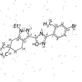 CCn1nc(-c2nc(-c3ccc(Br)cc3C)no2)c2c1CC(C)(C)CC2